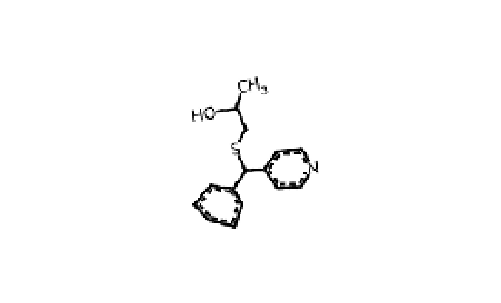 CC(O)CSC(c1ccccc1)c1ccncc1